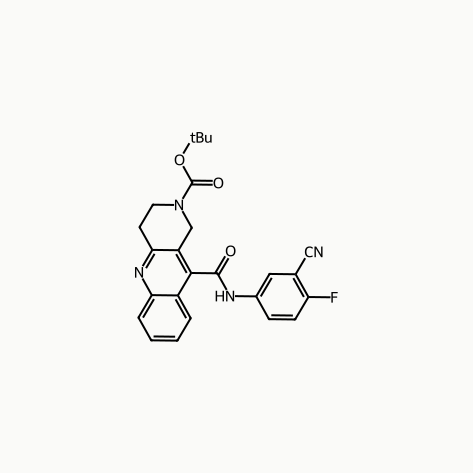 CC(C)(C)OC(=O)N1CCc2nc3ccccc3c(C(=O)Nc3ccc(F)c(C#N)c3)c2C1